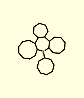 C1CCCC(B2C3CCCCCCCC3C3CCCCCC3C3CCCCCCC23)CCC1